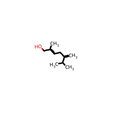 C=C(C/C=C(\C)CO)C(C)C